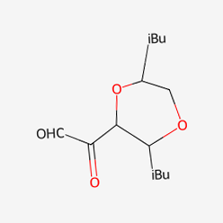 CCC(C)C1COC(C(C)CC)C(C(=O)C=O)O1